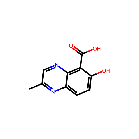 Cc1cnc2c(C(=O)O)c(O)ccc2n1